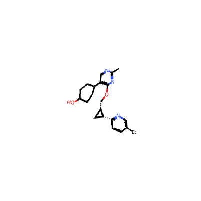 CCc1ccc([C@@H]2C[C@@H]2COc2nc(C)ncc2C2CCC(O)CC2)nc1